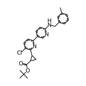 Cc1cccc(CNc2ccc(-c3ccc(Cl)c(C4CC4C(=O)OC(C)(C)C)n3)cn2)c1